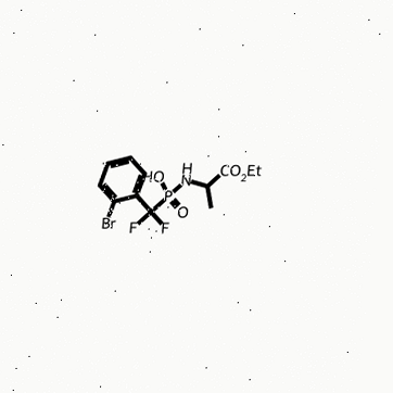 CCOC(=O)C(C)NP(=O)(O)C(F)(F)c1cc[c]cc1Br